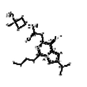 CCCCc1nn(CC(=O)N[C@H]2C[C@@](C)(O)C2)c(=O)c2cc(C(C)C)cn12